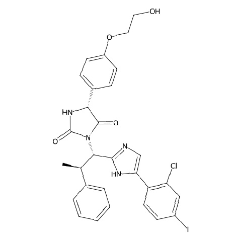 C[C@H](c1ccccc1)[C@@H](c1ncc(-c2ccc(I)cc2Cl)[nH]1)N1C(=O)N[C@H](c2ccc(OCCO)cc2)C1=O